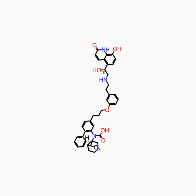 O=C(O)N(c1cc(CCCOc2cccc(CCNC[C@@H](O)c3ccc(O)c4[nH]c(=O)ccc34)c2)ccc1-c1ccccc1)[C@H]1CN2CCC1CC2